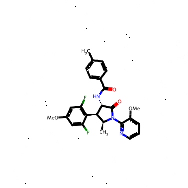 COc1cc(F)c([C@H]2[C@H](NC(=O)c3ccc(C)cc3)C(=O)N(c3ncccc3OC)[C@H]2C)c(F)c1